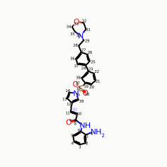 Nc1ccccc1NC(=O)/C=C/c1ccn(S(=O)(=O)c2cccc(-c3ccc(CCN4CCOCC4)cc3)c2)c1